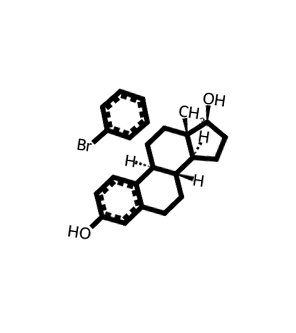 Brc1ccccc1.C[C@]12CC[C@@H]3c4ccc(O)cc4CC[C@H]3[C@@H]1CC[C@@H]2O